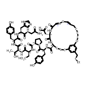 CCSCc1cc2cc(c1)OCCCC/C=C/O/N=C/C(=O)N[C@@H](CC(N)=O)C(=O)N[C@H](C(=O)N[C@@H](Cc1ccc(O)cc1)C(=O)N1CCC[C@H]1C(=O)N[C@@H](CC(=O)O)C(=O)N[C@H](C(=O)N[C@@H](Cc1ccc(O)cc1)C(=O)N[C@@H](Cc1cnc[nH]1)C(=O)NCC(N)=O)[C@@H](C)O)CSC2